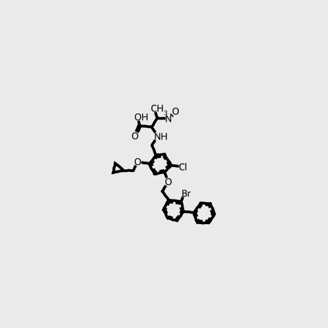 CC(N=O)C(NCc1cc(Cl)c(OCc2cccc(-c3ccccc3)c2Br)cc1OCC1CC1)C(=O)O